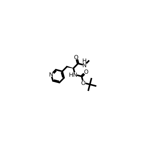 CNC(=O)[C@H](Cc1cccnc1)NC(=O)OC(C)(C)C